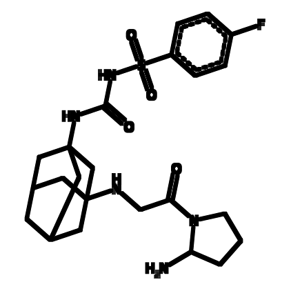 NC1CCCN1C(=O)CNC12CC3CC(C1)CC(NC(=O)NS(=O)(=O)c1ccc(F)cc1)(C3)C2